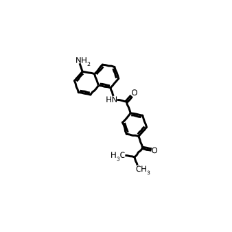 CC(C)C(=O)c1ccc(C(=O)Nc2cccc3c(N)cccc23)cc1